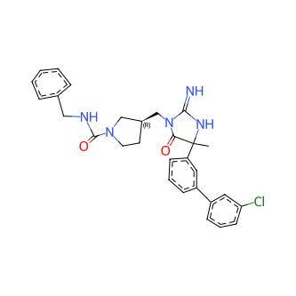 CC1(c2cccc(-c3cccc(Cl)c3)c2)NC(=N)N(C[C@H]2CCN(C(=O)NCc3ccccc3)C2)C1=O